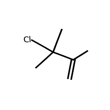 C=C(C)C(C)(C)Cl